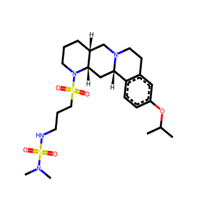 CC(C)Oc1ccc2c(c1)CCN1C[C@H]3CCCN(S(=O)(=O)CCCNS(=O)(=O)N(C)C)[C@H]3C[C@@H]21